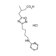 CC(CC(=O)O)Cc1nc(CCCCNc2ccccn2)no1.Cl